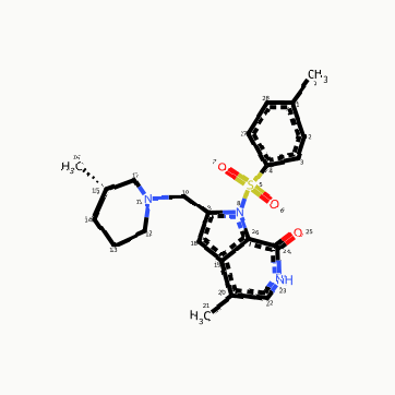 Cc1ccc(S(=O)(=O)n2c(CN3CCC[C@H](C)C3)cc3c(C)c[nH]c(=O)c32)cc1